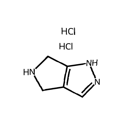 Cl.Cl.c1n[nH]c2c1CNC2